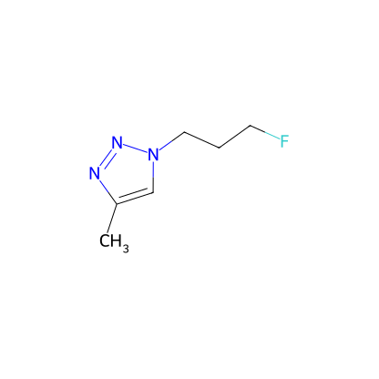 Cc1cn(CCCF)nn1